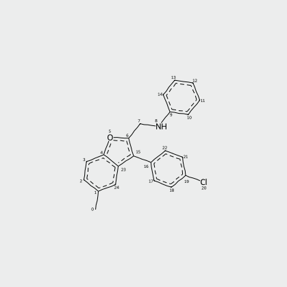 Cc1ccc2oc(CNc3ccccc3)c(-c3ccc(Cl)cc3)c2c1